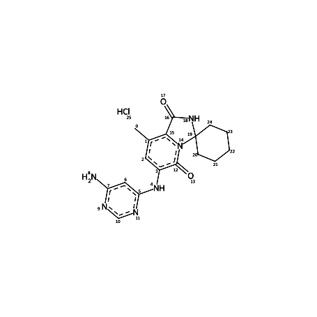 Cc1cc(Nc2cc(N)ncn2)c(=O)n2c1C(=O)NC21CCCCC1.Cl